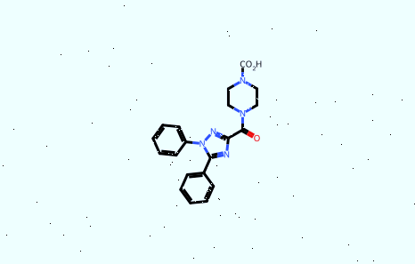 O=C(O)N1CCN(C(=O)c2nc(-c3ccccc3)n(-c3ccccc3)n2)CC1